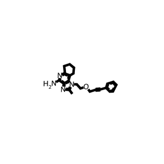 Cc1nc2c(N)nc3c(c2n1CCOCC#Cc1ccccc1)CCCC3